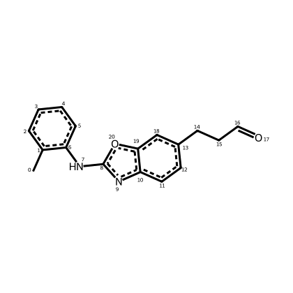 Cc1ccccc1Nc1nc2ccc(CCC=O)cc2o1